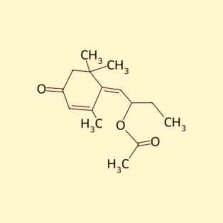 CCC(C=C1C(C)=CC(=O)CC1(C)C)OC(C)=O